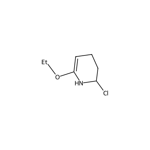 CCOC1=CCCC(Cl)N1